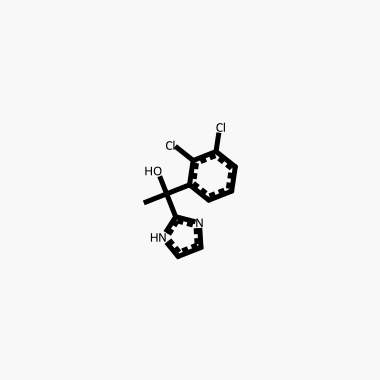 CC(O)(c1ncc[nH]1)c1cccc(Cl)c1Cl